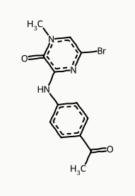 CC(=O)c1ccc(Nc2nc(Br)cn(C)c2=O)cc1